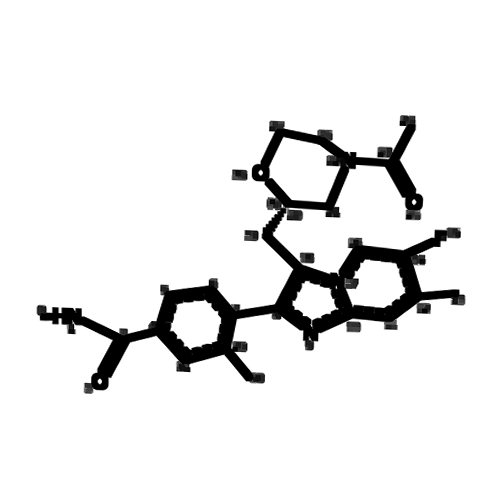 CNC(=O)c1ccc(-c2nc3cc(C)c(F)cn3c2C[C@H]2CN(C(C)=O)CCO2)c(C)c1